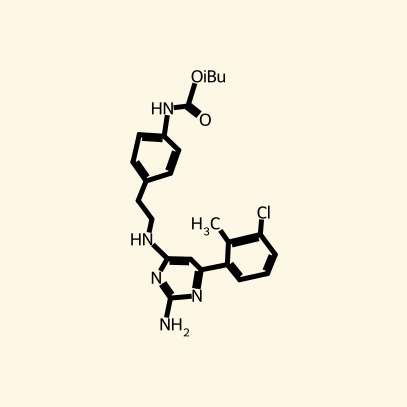 Cc1c(Cl)cccc1-c1cc(NCCc2ccc(NC(=O)OCC(C)C)cc2)nc(N)n1